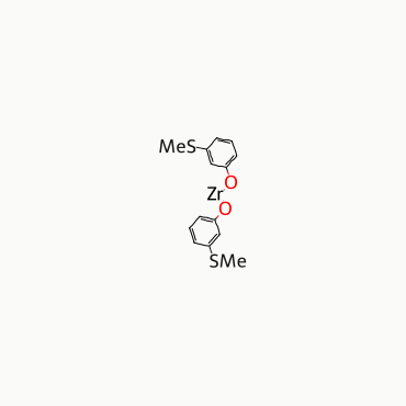 CSc1cccc([O][Zr][O]c2cccc(SC)c2)c1